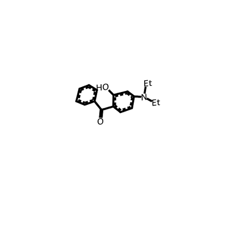 CCN(CC)c1ccc(C(=O)c2[c]cccc2)c(O)c1